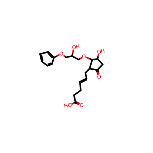 O=C(O)CCC=CCC1C(=O)CC(O)C1OCC(O)COc1ccccc1